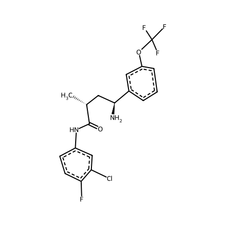 C[C@H](C[C@H](N)c1cccc(OC(F)(F)F)c1)C(=O)Nc1ccc(F)c(Cl)c1